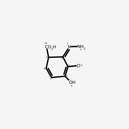 NN=C1C(Cl)=C(O)C=CC1C(=O)O